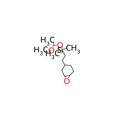 COC(C)O[Si](C)(C)CCC1CCC2OC2C1